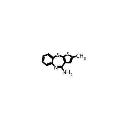 Cc1cc2c(s1)Sc1ccccc1N=C2N